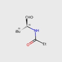 CCC(=O)N[C@H]([C]=O)[C@@H](C)CC